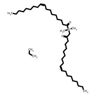 CCC.CCCCCCCC/C=C\CCCCCCCC(=O)C[N+](C)(C)C(=O)CCCCCCC/C=C\CCCCCCCC